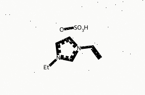 C=Cn1cc[n+](CC)c1.O=S(=O)([O-])O